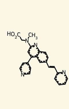 CN(CC(=O)O)c1cc(-c2ccncc2)c2cc(/C=C/c3ccccn3)ccc2n1